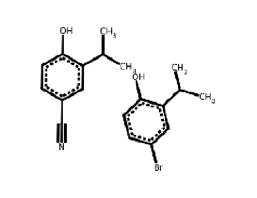 CC(C)c1cc(Br)ccc1O.CC(C)c1cc(C#N)ccc1O